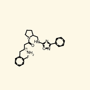 N[C@@H](CC(=O)N1CCCC1CNc1nc(-c2ccccc2)no1)Cc1ccccc1F